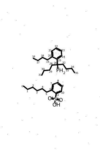 CCCCCCc1ccccc1S(=O)(=O)O.CCCCc1ccccc1C(P)(CCCC)CCCC